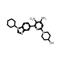 Nc1cc(N2CCC(O)CC2)nc(-c2ccc3c(c2)ncn3C2CCCCC2)c1[N+](=O)[O-]